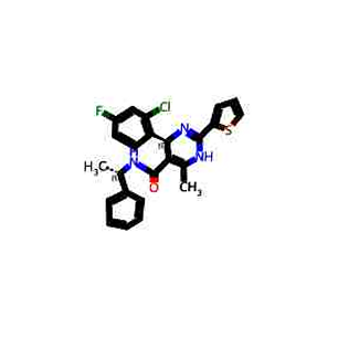 CC1=C(C(=O)N[C@@H](C)c2ccccc2)[C@@H](c2ccc(F)cc2Cl)N=C(c2cccs2)N1